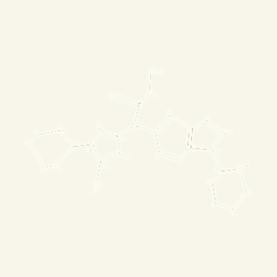 CC(C)(C)OC(=O)N(c1ccc2c(cnn2C2CCCCO2)c1)c1nc(Br)n(C2CCCCO2)n1